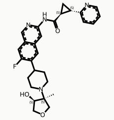 C[C@]1(N2CCC(c3cc4cc(NC(=O)[C@H]5C[C@@H]5c5ccccn5)ncc4cc3F)CC2)COC[C@H]1O